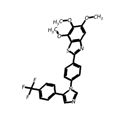 COc1cc2nc(-c3ccc(-n4cncc4-c4ccc(C(F)(F)F)cc4)cc3)sc2c(OC)c1OC